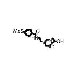 CSc1ccc(C(=O)NCC[C@H](CC(C)C)CN2CC(O)C2)cc1